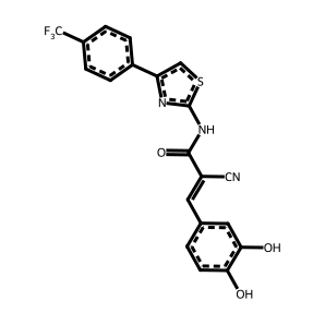 N#C/C(=C\c1ccc(O)c(O)c1)C(=O)Nc1nc(-c2ccc(C(F)(F)F)cc2)cs1